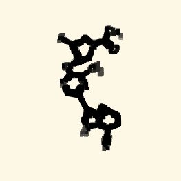 CC(=O)N1CC(Oc2ncc(-c3c[nH]c4c(C#N)cccc34)nc2C)[C@@H](F)C1